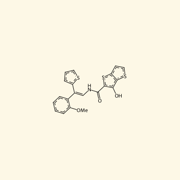 COc1ccccc1C(=CNC(=O)c1sc2ccsc2c1O)c1cccs1